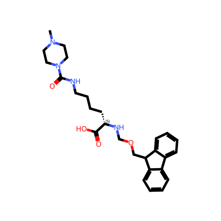 CN1CCN(C(=O)NCCCC[C@H](NCOCC2c3ccccc3-c3ccccc32)C(=O)O)CC1